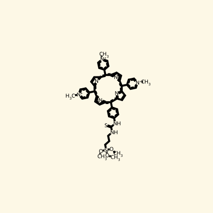 CO[Si](CCCNC(=S)Nc1ccc(-c2c3nc(c(-c4cc[n+](C)cc4)c4ccc([nH]4)c(-c4cc[n+](C)cc4)c4nc(c(-c5cc[n+](C)cc5)c5ccc2[nH]5)C=C4)C=C3)cc1)(OC)OC